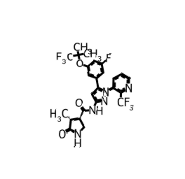 C[C@H]1C(=O)NC[C@@H]1C(=O)Nc1cc(-c2cc(F)cc(OC(C)(C)C(F)(F)F)c2)n(-c2cccnc2C(F)(F)F)n1